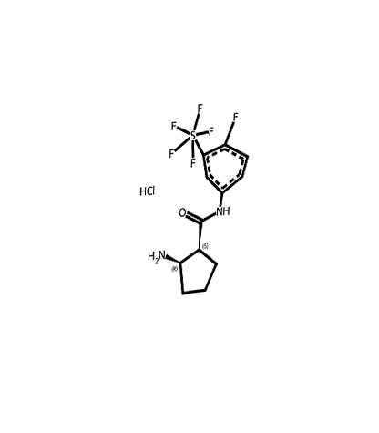 Cl.N[C@@H]1CCC[C@@H]1C(=O)Nc1ccc(F)c(S(F)(F)(F)(F)F)c1